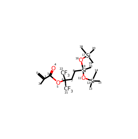 C=C(C)C(=O)OC(CC[Si](C)(O[Si](C)(C)C)O[Si](C)(C)C)(C(F)(F)F)C(F)(F)F